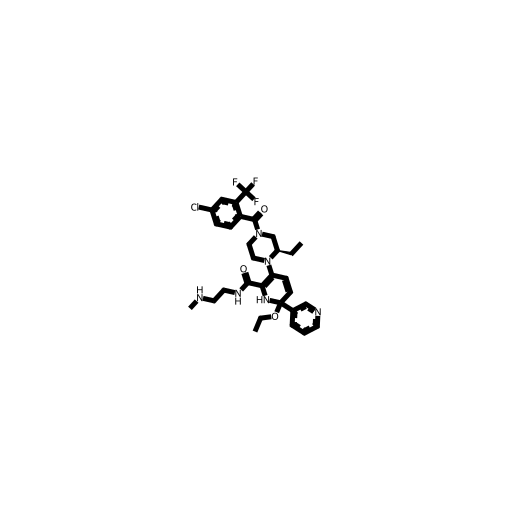 CCOC1(c2cccnc2)C=CC(N2CCN(C(=O)c3ccc(Cl)cc3C(F)(F)F)C[C@H]2CC)=C(C(=O)NCCNC)N1